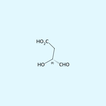 O=C[C@H](O)CC(=O)O